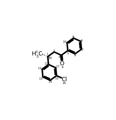 C[C@H](CC(=O)c1ccccc1)c1cccc(Cl)c1